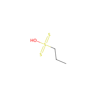 CCCS(O)(=S)=S